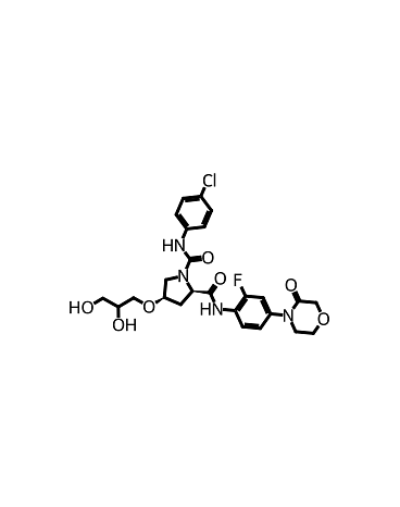 O=C(Nc1ccc(N2CCOCC2=O)cc1F)[C@H]1C[C@@H](OCC(O)CO)CN1C(=O)Nc1ccc(Cl)cc1